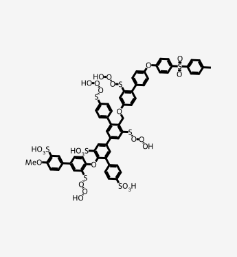 COc1ccc(-c2ccc(Oc3c(-c4ccc(S(=O)(=O)O)cc4)cc(-c4cc(SOOO)c(COc5ccc(-c6ccc(Oc7ccc(S(=O)(=O)c8ccc(C)cc8)cc7)cc6)c(SOOO)c5)c(-c5ccc(SOOO)cc5)c4)cc3S(=O)(=O)O)c(SOOO)c2)cc1S(=O)(=O)O